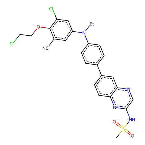 CCN(c1ccc(-c2ccc3nc(NS(C)(=O)=O)cnc3c2)cc1)c1cc(Cl)c(OCCCl)c(C#N)c1